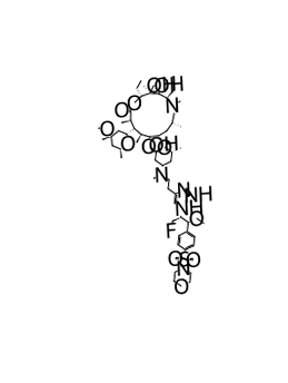 CC[C@H]1OC(=O)[C@H](C)C([C@H]2C[C@@](C)(OC)C[C@H](C)O2)[C@H](C)[C@@H](O[C@H]2C[C@@H](N(C)CC/C(=C/N[C@H](CF)[C@H](OC)c3ccc(S(=O)(=O)N4CCOCC4)cc3)N=N)C[C@@H](C)O2)[C@](C)(O)C[C@@H](C)CN(C)[C@H](C)[C@@H](O)[C@]1(C)O